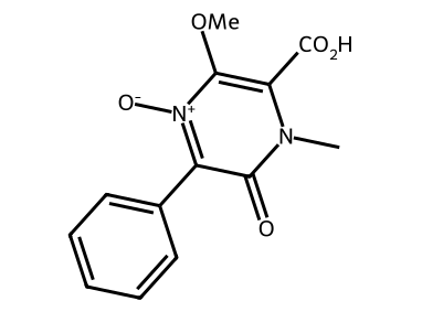 COc1c(C(=O)O)n(C)c(=O)c(-c2ccccc2)[n+]1[O-]